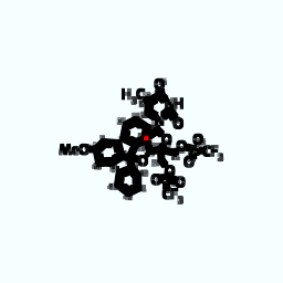 COc1ccc(C(O[C@H]2C[C@H](n3cc(C)c(=O)[nH]c3=O)OC2(COS(=O)(=O)C(F)(F)F)COS(=O)(=O)C(F)(F)F)(c2ccccc2)c2ccccc2)cc1